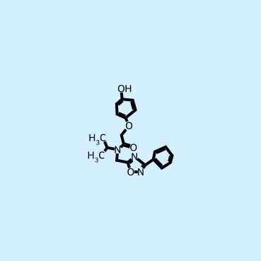 CC(C)N(Cc1nc(-c2ccccc2)no1)C(=O)COc1ccc(O)cc1